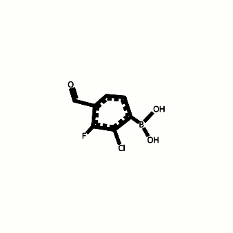 O=Cc1ccc(B(O)O)c(Cl)c1F